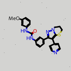 COc1cccc(NC(=O)Nc2cccc(-c3nn4c(c3-c3ccncc3)SCCC4)c2)c1